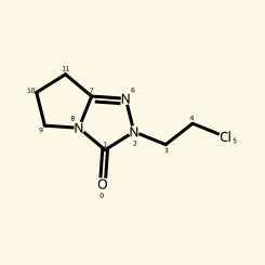 O=c1n(CCCl)nc2n1CCC2